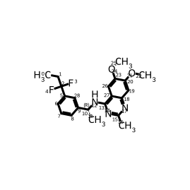 CCC(F)(F)c1cccc([C@@H](C)Nc2nc(C)nc3cc(OC)c(OC)cc23)c1